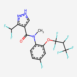 CN(C(=O)c1c[nH]nc1C(F)F)c1ccc(F)cc1OC(F)(F)C(F)C(F)(F)F